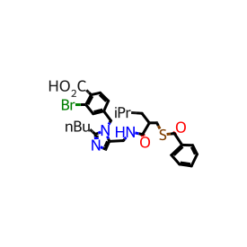 CCCCc1ncc(CNC(=O)C(CSC(=O)c2ccccc2)CC(C)C)n1Cc1ccc(C(=O)O)c(Br)c1